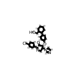 O=c1c(Oc2ccc(-c3ccccc3CO)cc2)c(-n2ccnc2)cnn1-c1ccc(Cl)cc1